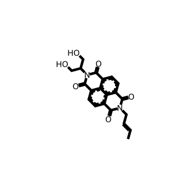 CC=CCN1C(=O)c2ccc3c4c(ccc(c24)C1=O)C(=O)N(C(CO)CO)C3=O